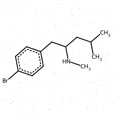 CNC(Cc1ccc(Br)cc1)CC(C)C